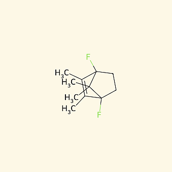 CC1=C(C)C2(F)CCC1(F)C2(C)C